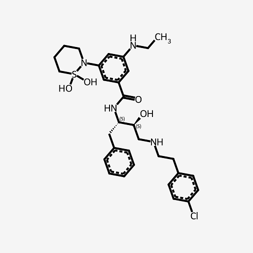 CCNc1cc(C(=O)N[C@@H](Cc2ccccc2)[C@@H](O)CNCCc2ccc(Cl)cc2)cc(N2CCCCS2(O)O)c1